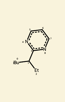 CCC(C)C(CC)c1ncccn1